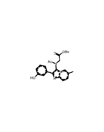 COC(=O)CN(C(C)=O)c1c(-c2cccc(O)c2)nc2ccc(C)cn12